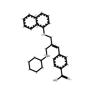 O=C(O)c1ccc(/C=C(\CNC2CCCCC2)COc2cccc3ccccc23)cc1